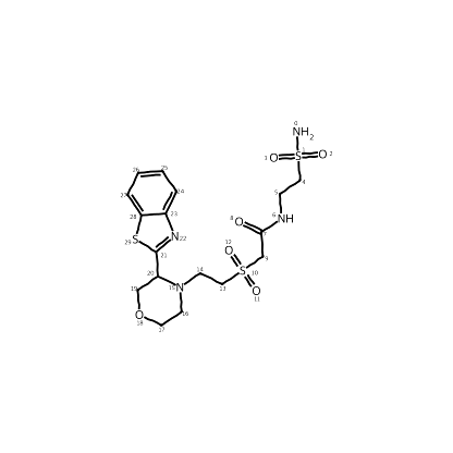 NS(=O)(=O)CCNC(=O)CS(=O)(=O)CCN1CCOCC1c1nc2ccccc2s1